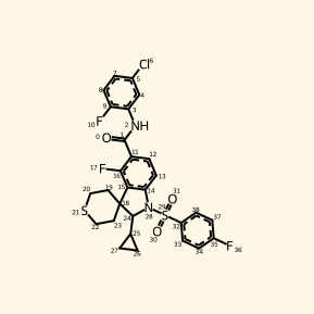 O=C(Nc1cc(Cl)ccc1F)c1ccc2c(c1F)C1(CCSCC1)C(C1CC1)N2S(=O)(=O)c1ccc(F)cc1